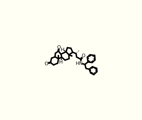 C[C@H](CC(=O)NC(Cc1ccccc1)c1ccccc1)C1CC[C@H]2C3C(=O)CC4CC(=O)CCC4(C)[C@H]3CCC12C